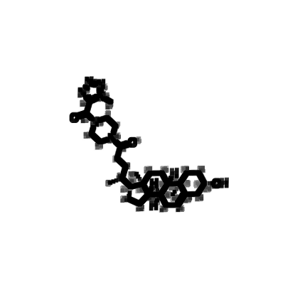 C[C@H](CCC(=O)N1CCN(C(=O)c2nnnn2C)CC1)[C@H]1CC[C@H]2[C@@H]3CC=C4C[C@@H](O)CC[C@]4(C)[C@H]3CC[C@]12C